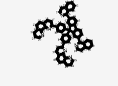 c1ccc2c(-c3ccc4c(c3)C(c3ccc(-c5ccc6ccc7cccnc7c6n5)cc3)(c3ccc(-c5ccc6ccc7cccnc7c6n5)cc3)c3cc(-c5nccc6ccccc56)ccc3-4)nccc2c1